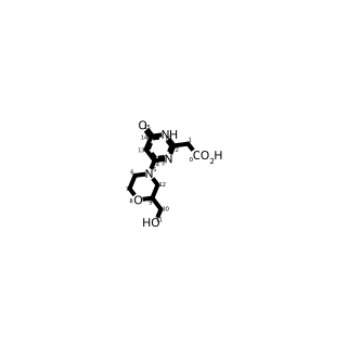 O=C(O)Cc1nc(N2CCOC(CO)C2)cc(=O)[nH]1